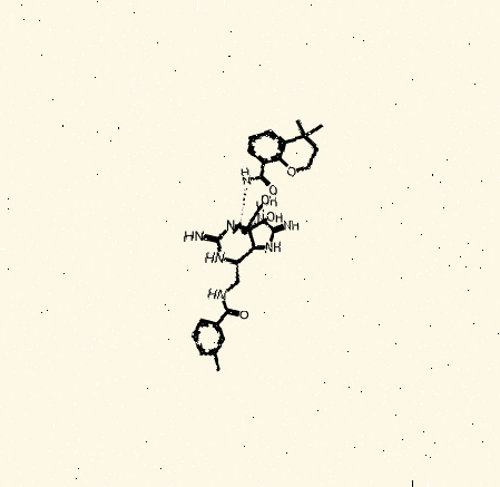 Cc1cccc(C(=O)NC[C@H]2NC(=N)N3C[C@H](NC(=O)c4cccc5c4OCCC5(C)C)C(O)(O)[C@@]34NC(=N)NC24)c1